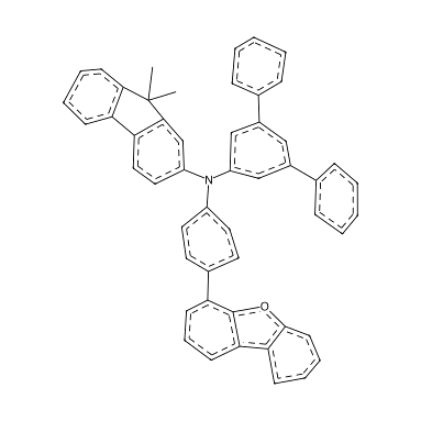 CC1(C)c2ccccc2-c2ccc(N(c3ccc(-c4cccc5c4oc4ccccc45)cc3)c3cc(-c4ccccc4)cc(-c4ccccc4)c3)cc21